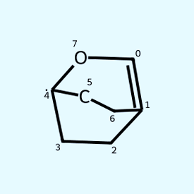 C1=C2CC[C](CC2)O1